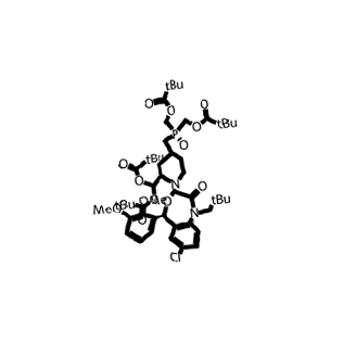 COc1cccc([C@H]2O[C@@H](N3CCC(CP(=O)(COC(=O)C(C)(C)C)COC(=O)C(C)(C)C)CC3C(OC(=O)C(C)(C)C)OC(=O)C(C)(C)C)C(=O)N(CC(C)(C)C)c3ccc(Cl)cc32)c1OC